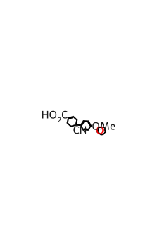 C1CC2CC1O2.COc1ccc(C2(C#N)CC=C(C(=O)O)CC2)cc1